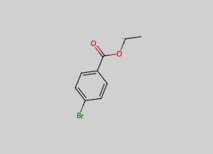 C[CH]OC(=O)c1ccc(Br)cc1